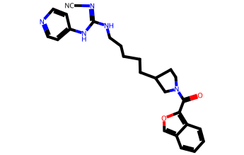 N#CN=C(NCCCCCC1CCN(C(=O)c2occ3ccccc23)C1)Nc1ccncc1